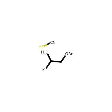 CC(=O)OCC(C)C(C)C.N#CS